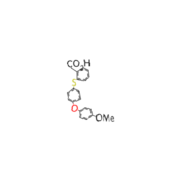 COc1ccc(Oc2ccc(Sc3ccccc3CC(=O)O)cc2)cc1